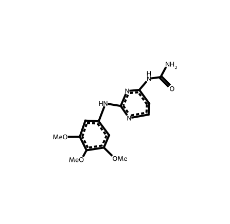 COc1cc(Nc2nccc(NC(N)=O)n2)cc(OC)c1OC